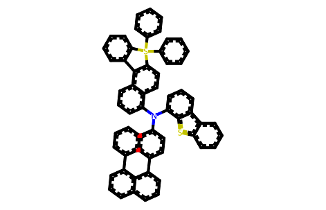 c1ccc(-c2cccc3cccc(-c4ccc(N(c5cccc6c7c(ccc56)S(c5ccccc5)(c5ccccc5)c5ccccc5-7)c5cccc6c5sc5ccccc56)cc4)c23)cc1